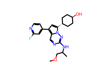 COCC(C)Nc1ncc2c(-c3ccnc(F)c3)cc([C@H]3CC[C@H](O)CC3)n2n1